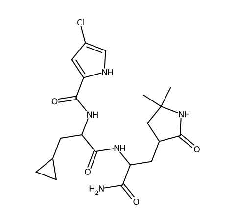 CC1(C)CC(CC(NC(=O)C(CC2CC2)NC(=O)c2cc(Cl)c[nH]2)C(N)=O)C(=O)N1